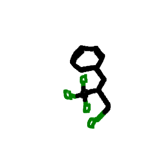 ClCC(Cc1ccccc1)[Si](Cl)(Cl)Cl